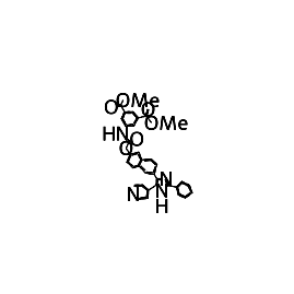 COC(=O)c1cc(NC(=O)Oc2ccc3cc(-c4nc(-c5ccccc5)[nH]c4-c4ccncc4)ccc3c2)cc(C(=O)OC)c1